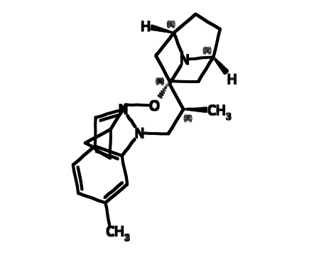 Cc1ccc2cnn(C[C@H](C)CN3[C@@H]4CC[C@H]3C[C@@H](OCC3CC3)C4)c2c1